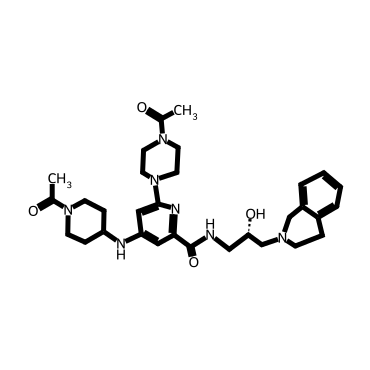 CC(=O)N1CCC(Nc2cc(C(=O)NC[C@H](O)CN3CCc4ccccc4C3)nc(N3CCN(C(C)=O)CC3)c2)CC1